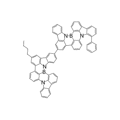 CCCCc1cc2c3c(c1)c1cc(-c4cc5c6c(c4)c4ccccc4n6B4c6c-5cccc6-n5c6c4cccc6c4cccc(-c6ccccc6)c45)ccc1n3B1c3c-2cccc3-n2c3ccccc3c3cccc1c32